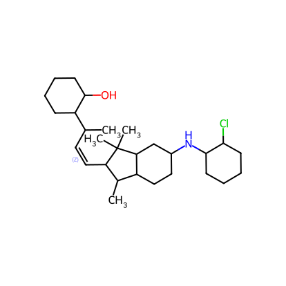 CC(/C=C\C1C(C)C2CCC(NC3CCCCC3Cl)CC2C1(C)C)C1CCCCC1O